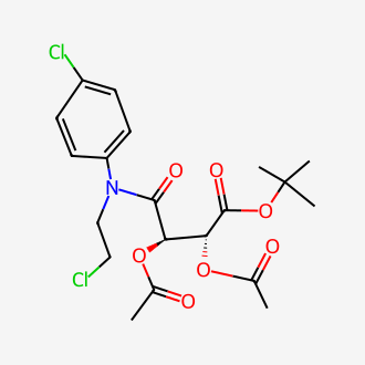 CC(=O)O[C@@H](C(=O)OC(C)(C)C)[C@@H](OC(C)=O)C(=O)N(CCCl)c1ccc(Cl)cc1